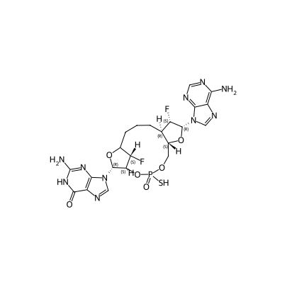 Nc1nc2c(ncn2[C@@H]2OC3CCC[C@H]4[C@H](F)[C@H](n5cnc6c(N)ncnc65)O[C@@H]4COP(=O)(S)O[C@@H]2[C@H]3F)c(=O)[nH]1